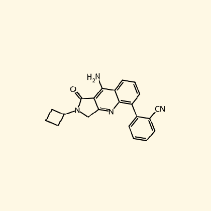 N#Cc1ccccc1-c1cccc2c(N)c3c(nc12)CN(C1CCC1)C3=O